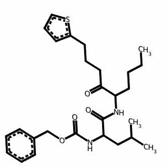 CCCCC(NC(=O)C(CC(C)C)NC(=O)OCc1ccccc1)C(=O)CCCc1cccs1